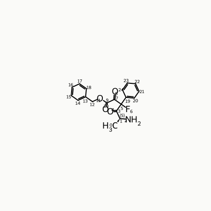 C[C@H](N)C(=O)C(F)(C(=O)C(=O)OCc1ccccc1)c1ccccc1